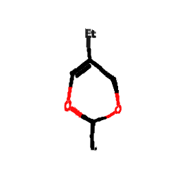 [CH2]C1OC=C(CC)CO1